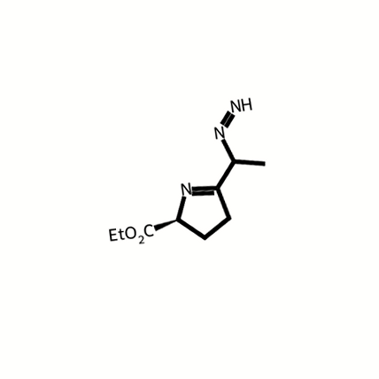 CCOC(=O)[C@@H]1CCC(C(C)N=N)=N1